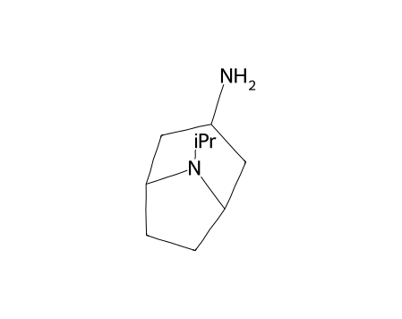 CC(C)N1C2CCC1CC(N)C2